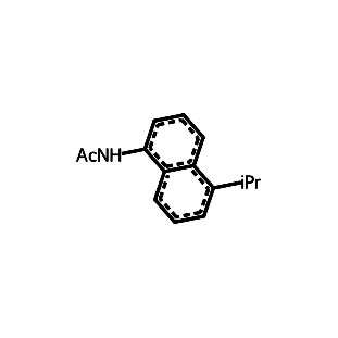 CC(=O)Nc1cccc2c(C(C)C)cccc12